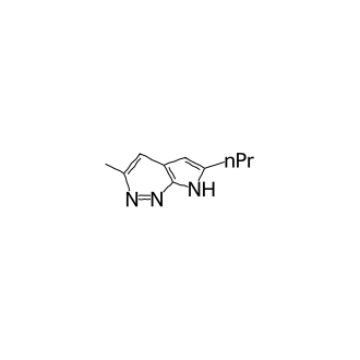 CCCc1cc2cc(C)nnc2[nH]1